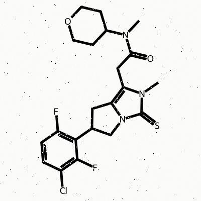 CN(C(=O)Cc1c2n(c(=S)n1C)CC(c1c(F)ccc(Cl)c1F)C2)C1CCOCC1